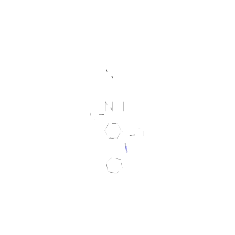 O=C(NCCCN1CCCC1)c1ccc2c(c1)C(=O)/C2=C/c1ccccc1